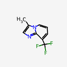 Cc1cnc2c(C(F)(F)F)cccn12